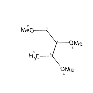 COCC(OC)C(C)OC